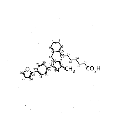 Cc1cn(Cc2ccccc2OCCCCCC(=O)O)c(-c2ccc(-c3ccco3)cc2)n1